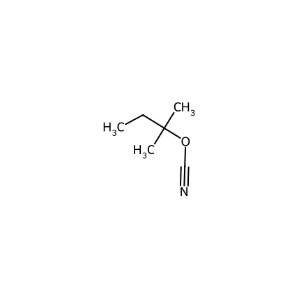 CCC(C)(C)OC#N